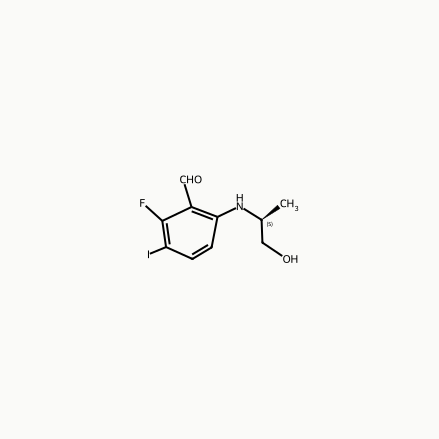 C[C@@H](CO)Nc1ccc(I)c(F)c1C=O